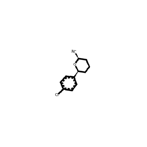 N#C[C@H]1CCC[C@@H](c2ccc(Cl)cc2)O1